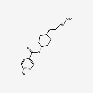 N#Cc1ccc(C(=O)O[C@H]2CC[C@H](CC/C=C/C=O)CC2)cc1